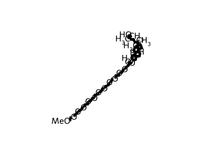 COCCOCCOCCOCCOCCOCCOCCOCCOCCOCCOCCOCCC(=O)O[C@H]1CC[C@@]2(C)C(=CC[C@H]3[C@@H]4CC[C@H]([C@H](C)CCCC(C)(C)O)[C@@]4(C)CC[C@@H]32)C1